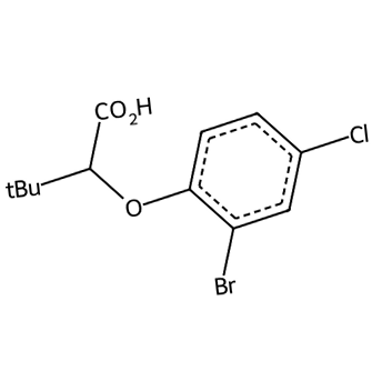 CC(C)(C)C(Oc1ccc(Cl)cc1Br)C(=O)O